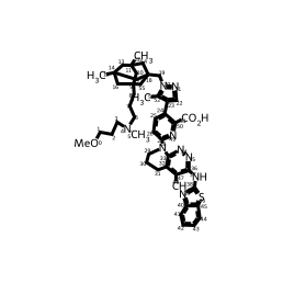 COCCCN(C)CCCC12CC3(C)CC(C)(C1)CC(Cn1ncc(-c4ccc(N5CCCc6c5nnc(Nc5nc7ccccc7s5)c6C)nc4C(=O)O)c1C)(C3)C2